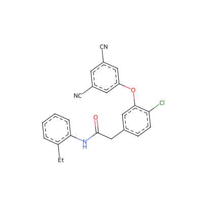 CCc1ccccc1NC(=O)Cc1ccc(Cl)c(Oc2cc(C#N)cc(C#N)c2)c1